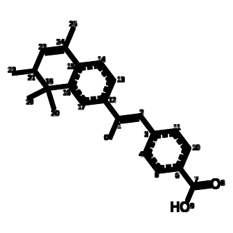 CC(=Cc1ccc(C(=O)O)cc1)c1ccc2c(c1)C(C)(C)C(C)C=C2C